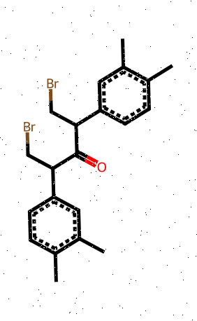 Cc1ccc(C(CBr)C(=O)C(CBr)c2ccc(C)c(C)c2)cc1C